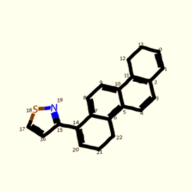 C1=Cc2ccc3c4c(ccc3c2CC1)C(c1ccsn1)=CCC4